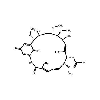 CO[C@@H]1[C@@H](OC)C[C@H](C)[C@@H](OC)C2=CC(=O)C=C(NC(=O)/C(C)=C/C=C/[C@H](OC)[C@@H](OC(N)=O)/C(C)=C/[C@@H]1C)C2=O